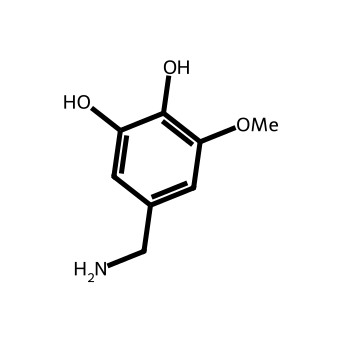 COc1cc(CN)cc(O)c1O